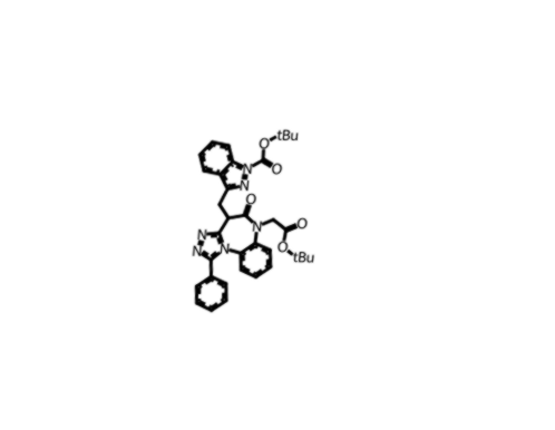 CC(C)(C)OC(=O)CN1C(=O)C(Cc2nn(C(=O)OC(C)(C)C)c3ccccc23)c2nnc(-c3ccccc3)n2-c2ccccc21